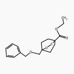 CCOC(=O)C12CCC(COCc3ccccc3)(CC1)OC2